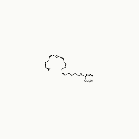 CC/C=C\C/C=C\C/C=C\C/C=C\C/C=C\CCCCSC(OC)C(=O)OCC